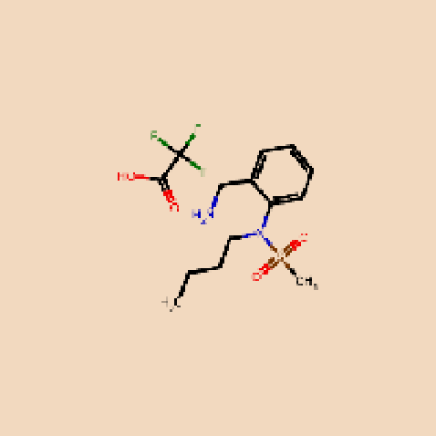 CCCCN(c1ccccc1CN)S(C)(=O)=O.O=C(O)C(F)(F)F